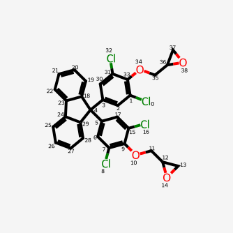 Clc1cc(C2(c3cc(Cl)c(OCC4CO4)c(Cl)c3)c3ccccc3-c3ccccc32)cc(Cl)c1OCC1CO1